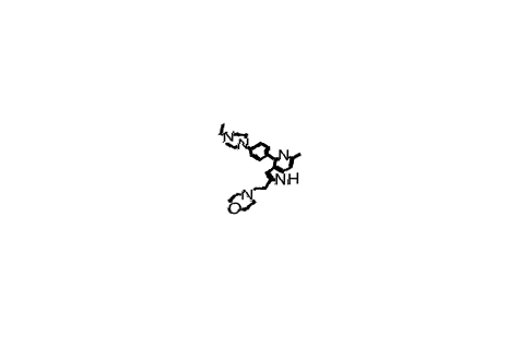 CCN1CCN(c2ccc(-c3nc(C)cc4[nH]c(CCN5CCOCC5)cc34)cc2)CC1